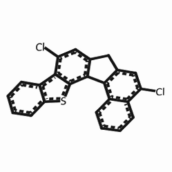 Clc1cc2c(c3ccccc13)-c1c(cc(Cl)c3c1sc1ccccc13)C2